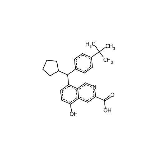 CC(C)(C)c1ccc(C(c2ccc(O)c3cc(C(=O)O)ncc23)C2CCCC2)cc1